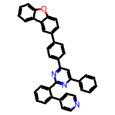 c1ccc(-c2cc(-c3ccc(-c4ccc5oc6ccccc6c5c4)cc3)nc(-c3ccccc3-c3ccncc3)n2)cc1